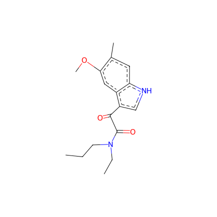 CCCN(CC)C(=O)C(=O)c1c[nH]c2cc(C)c(OC)cc12